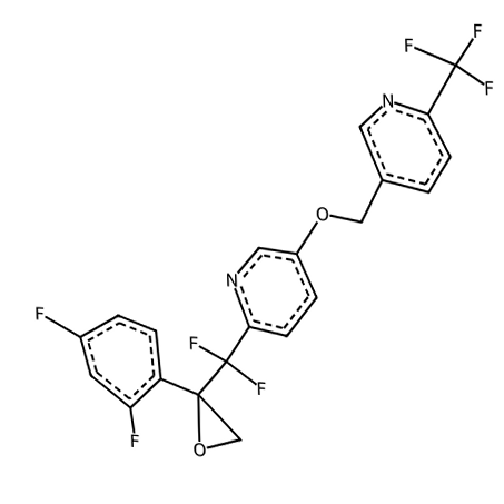 Fc1ccc(C2(C(F)(F)c3ccc(OCc4ccc(C(F)(F)F)nc4)cn3)CO2)c(F)c1